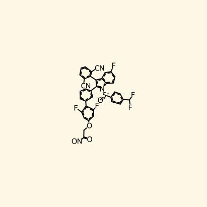 N#Cc1cccc(C#N)c1-c1c(-c2cccc(-c3c(F)cc(OCC(=O)N=O)cc3F)c2)n([S+]([O-])c2ccc(C(F)F)cc2)c2ccc(F)cc12